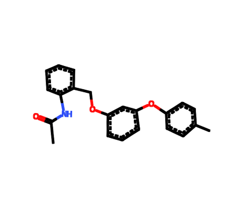 CC(=O)Nc1ccccc1COc1cccc(Oc2ccc(C)cc2)c1